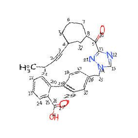 CCC#CC1CCCC(C(=O)c2ncn(Cc3ccc(-c4ccccc4C(=O)O)cc3)n2)C1